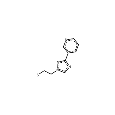 [S]CCn1cnc(-c2cccnc2)n1